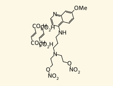 COc1ccc2c(NCCCN(CCO[N+](=O)[O-])CCO[N+](=O)[O-])ccnc2c1.O=C(O)/C=C/C(=O)O.O=C(O)/C=C/C(=O)O